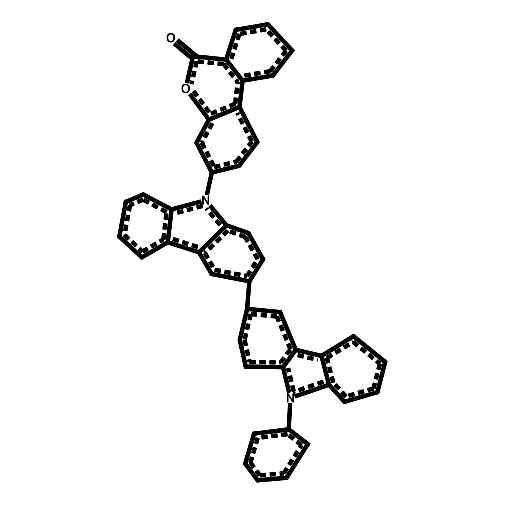 O=c1oc2cc(-n3c4ccccc4c4cc(-c5ccc6c(c5)c5ccccc5n6-c5ccccc5)ccc43)ccc2c2ccccc12